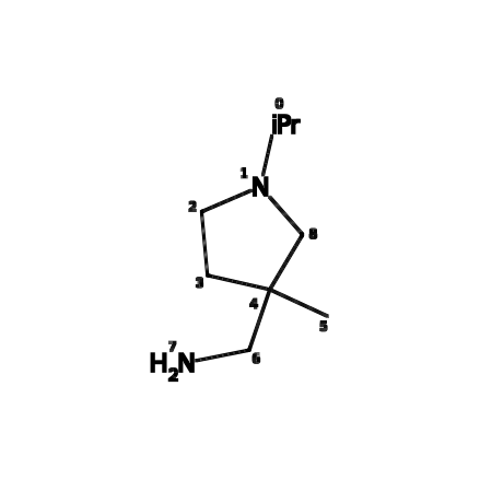 CC(C)N1CCC(C)(CN)C1